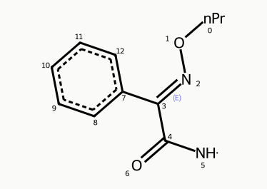 CCCO/N=C(/C([NH])=O)c1ccccc1